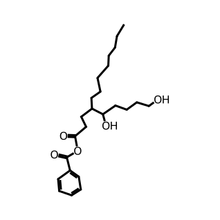 CCCCCCCCC(CCC(=O)OC(=O)c1ccccc1)C(O)CCCCO